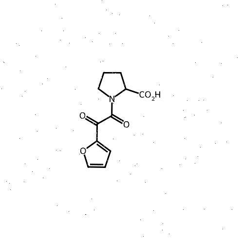 O=C(C(=O)N1CCCC1C(=O)O)c1ccco1